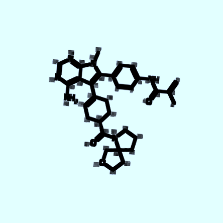 C=C(C)C(=O)Nc1ccc(-c2c(C3=CC[C@H](C(=O)N4CCCC45CCOC5)CC3)c3c(N)ncnc3n2C)cc1